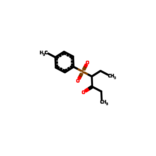 CCC(=O)C(CC)S(=O)(=O)c1ccc(C)cc1